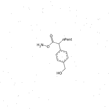 CCCCCC(C(=O)ON)c1ccc(CO)cc1